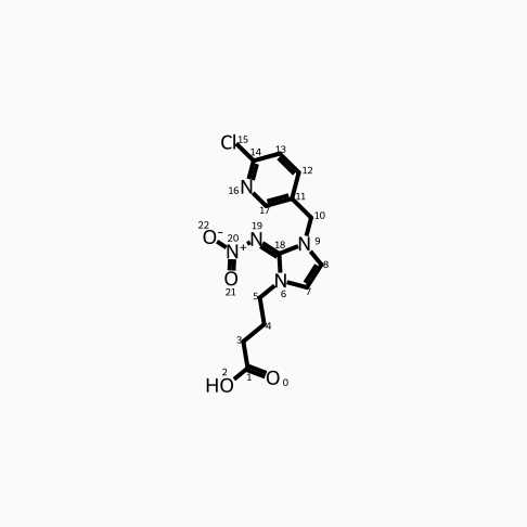 O=C(O)CCCn1ccn(Cc2ccc(Cl)nc2)c1=N[N+](=O)[O-]